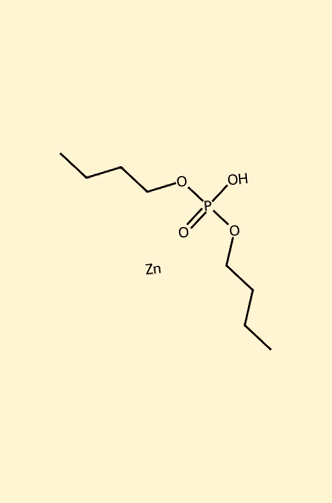 CCCCOP(=O)(O)OCCCC.[Zn]